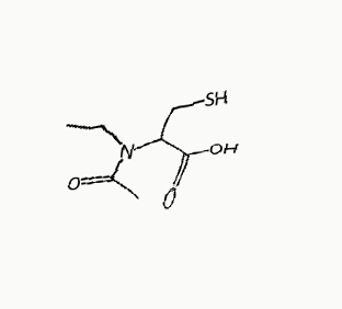 CCN(C(C)=O)C(CS)C(=O)O